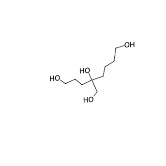 OCCCCC(O)(CO)CCCO